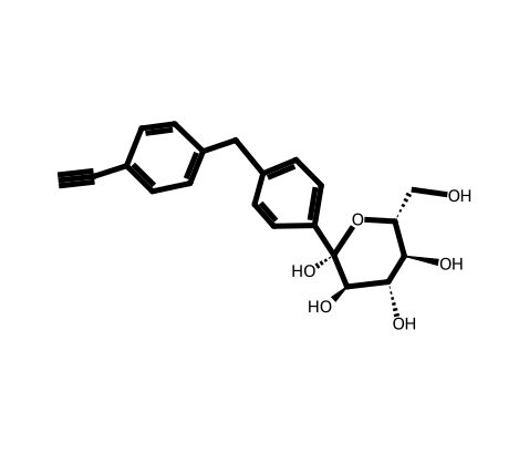 C#Cc1ccc(Cc2ccc([C@@]3(O)O[C@H](CO)[C@@H](O)[C@H](O)[C@H]3O)cc2)cc1